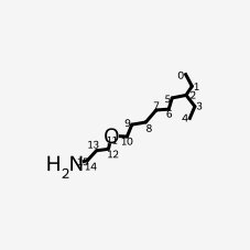 CCC(CC)CCCCCCOCCCN